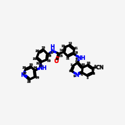 N#Cc1ccc2nccc(Nc3cccc(C(=O)Nc4cccc(Nc5ccncc5)c4)c3)c2c1